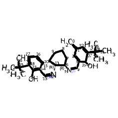 C=C1C=C(/C=N\[C@@H]2CCCC[C@H]2/N=C\c2cccc(C(C)(C)C)c2O)C(O)C(C(C)(C)C)=C1